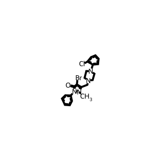 Cn1c(CN2CCN(c3ccccc3Cl)CC2)c(Br)c(=O)n1-c1ccccc1